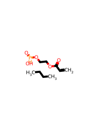 C=CC(=O)OCCO[PH](=O)O.CCCC